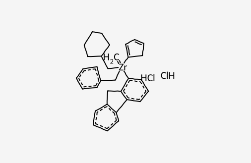 Cl.Cl.[CH2]=[Zr]([CH2]c1ccccc1)([CH2]C1CCCCC1)([C]1=CC=CC1)[c]1cccc2c1Cc1ccccc1-2